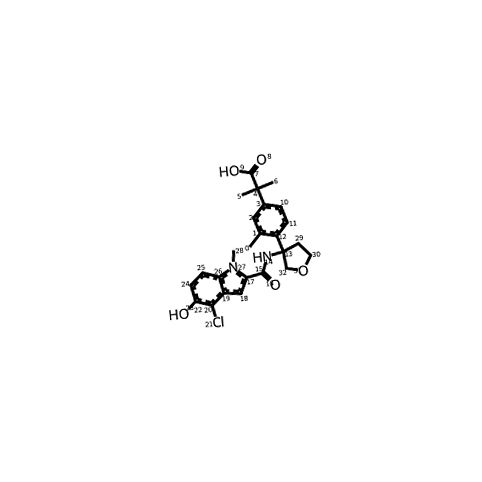 Cc1cc(C(C)(C)C(=O)O)ccc1C1(NC(=O)c2cc3c(Cl)c(O)ccc3n2C)CCOC1